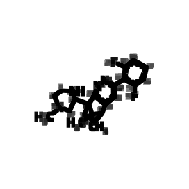 CN1CCNC(C23CCC(c4cc(-c5c(F)cccc5F)nnc42)C3(C)C)C1